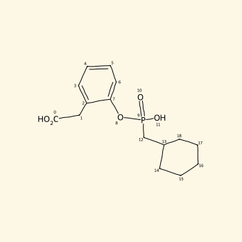 O=C(O)Cc1ccccc1OP(=O)(O)CC1CCCCC1